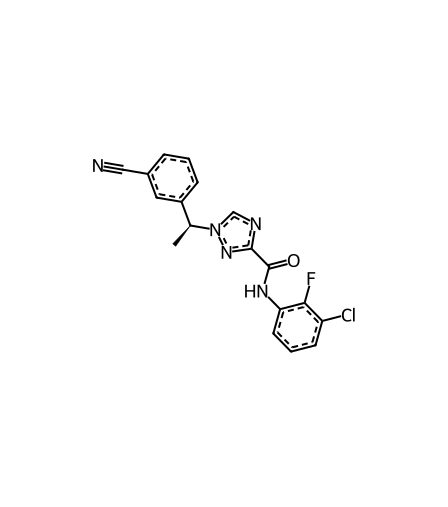 C[C@@H](c1cccc(C#N)c1)n1cnc(C(=O)Nc2cccc(Cl)c2F)n1